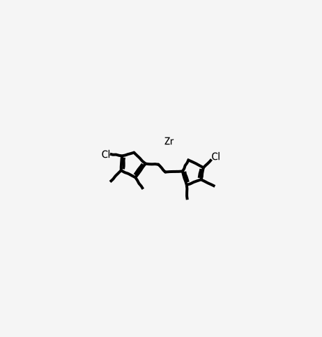 CC1=C(Cl)CC(CCC2=C(C)C(C)=C(Cl)C2)=C1C.[Zr]